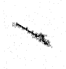 CN(C)CCCNCCCNC(=O)CSCCNC(=O)CCNC(=O)C(O)C(C)(C)COP(=O)(O)OP(=O)(O)OCC1OC(C)(n2cnc3c(N)ncnc32)C(O)C1OP(=O)(O)O